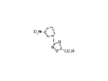 O=C(O)c1nc(-c2cccc([N+](=O)[O-])c2)ns1